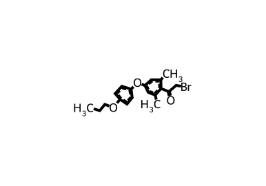 CCCOc1ccc(Oc2cc(C)c(C(=O)CBr)c(C)c2)cc1